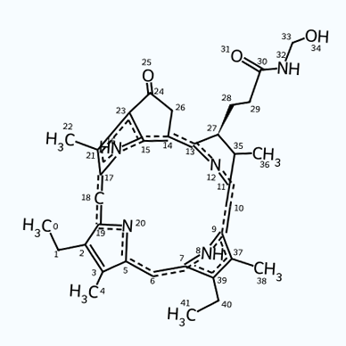 CCC1=C(C)c2cc3[nH]c(cc4nc(c5c6[nH]c(cc1n2)c(C)c6C(=O)C5)[C@@H](CCC(=O)NCO)C4C)c(C)c3CC